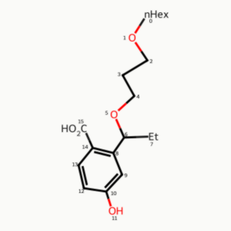 CCCCCCOCCCOC(CC)c1cc(O)ccc1C(=O)O